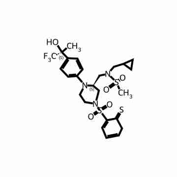 C[C@](O)(c1ccc(N2CCN(S(=O)(=O)C3=CC=CCC3=S)C[C@@H]2CN(CC2CC2)S(C)(=O)=O)cc1)C(F)(F)F